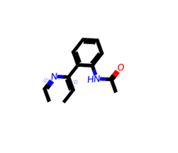 C/C=N\C(=C/C)c1ccccc1NC(C)=O